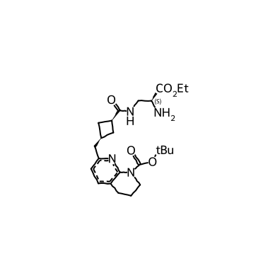 CCOC(=O)[C@@H](N)CNC(=O)[C@H]1C[C@@H](Cc2ccc3c(n2)N(C(=O)OC(C)(C)C)CCC3)C1